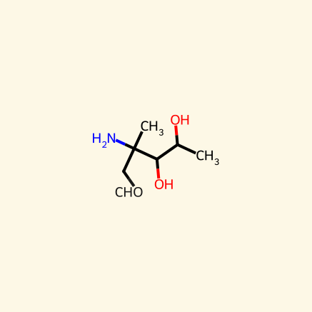 CC(O)C(O)C(C)(N)CC=O